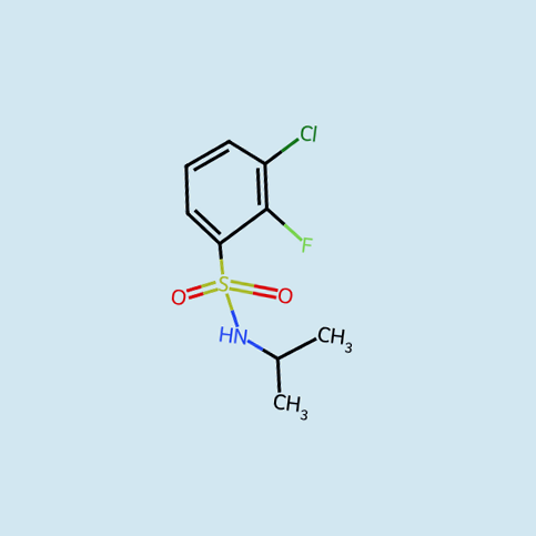 CC(C)NS(=O)(=O)c1cccc(Cl)c1F